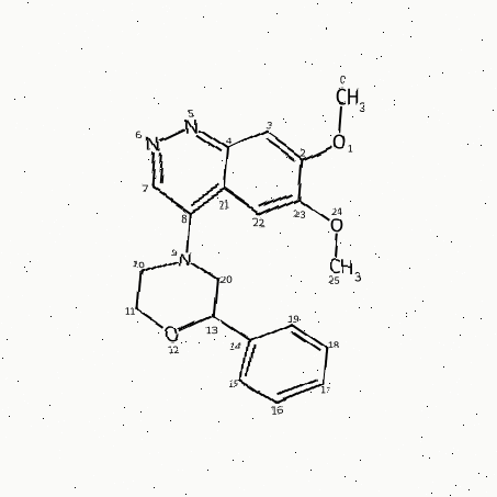 COc1cc2nncc(N3CCOC(c4ccccc4)C3)c2cc1OC